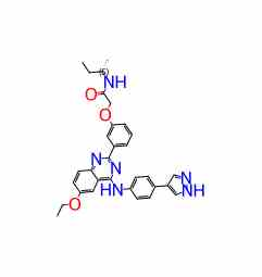 CCOc1ccc2nc(-c3cccc(OCC(=O)N[C@@H](C)CC)c3)nc(Nc3ccc(-c4cn[nH]c4)cc3)c2c1